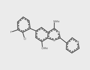 CNc1nc(-c2cccnc2)nc2c(OC)cc(-c3cccc(F)c3Cl)cc12